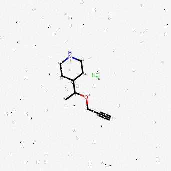 C#CCOC(C)C1CCNCC1.Cl